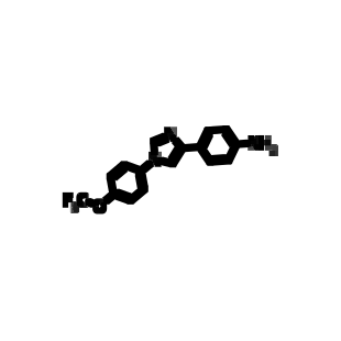 Nc1ccc(-c2cn(-c3ccc(OC(F)(F)F)cc3)cn2)cc1